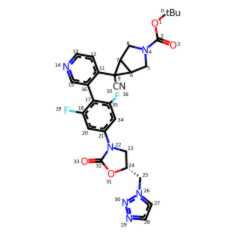 CC(C)(C)OC(=O)N1CC2C(C1)C2(C#N)c1ccncc1-c1c(F)cc(N2C[C@H](Cn3ccnn3)OC2=O)cc1F